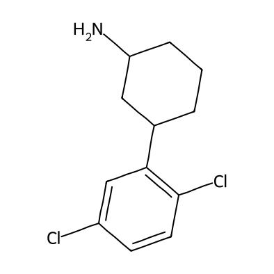 NC1CCCC(c2cc(Cl)ccc2Cl)C1